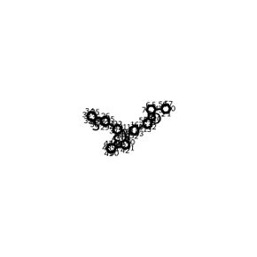 c1ccc(-c2cccc3c2oc2ccc(-c4ccc(N(c5ccc(-c6ccc7c(c6)sc6ccccc67)cc5)c5cccc6c5sc5ccccc56)cc4)cc23)cc1